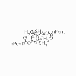 CCCCCC(=O)OCCN1C(C)(C)CC(OC(=O)CCCCC)CC1(C)S